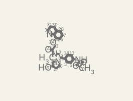 CN(C[C@@H](c1ccc(NS(C)(=O)=O)cc1)N1CC[C@H](O)C1)C(=O)COc1cccc2cccnc12